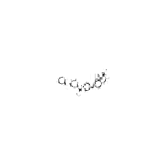 O=C(c1cccc(Oc2ccccc2)c1)N1CCN(c2ccc3ccc(=O)[nH]c3c2)CC1